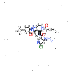 C=CC(=O)N1CCc2nn(-c3ccc(C4CCC4)cc3O)c3c2[C@H](C1)N(C(=O)c1cnc(Cl)cc1N)CC3